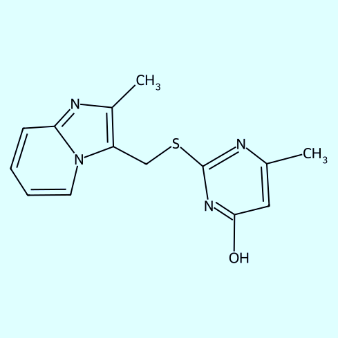 Cc1cc(O)nc(SCc2c(C)nc3ccccn23)n1